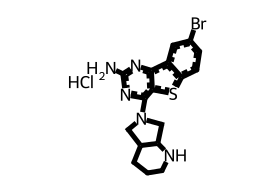 Cl.Nc1nc(N2CC3CCCNC3C2)c2sc3ccc(Br)cc3c2n1